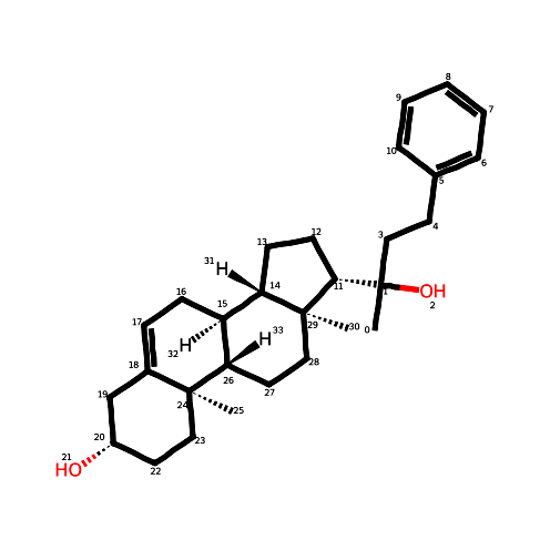 CC(O)(CCc1ccccc1)[C@H]1CC[C@H]2[C@@H]3CC=C4C[C@@H](O)CC[C@]4(C)[C@H]3CC[C@]12C